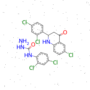 NNC(=O)Nc1ccc(Cl)cc1Cl.O=C1CC(c2ccc(Cl)cc2Cl)Nc2ccc(Cl)cc21